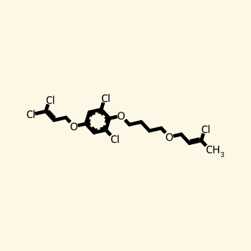 C/C(Cl)=C/COCCCCOc1c(Cl)cc(OCC=C(Cl)Cl)cc1Cl